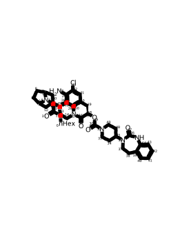 CCCCCCOC(=O)CN1C2CCC1CC(N1CCN(C(=O)[C@@H](Cc3cc(Cl)c(N)c(C(F)(F)F)c3)OC(=O)N3CCC(N4CCc5ccccc5NC4=O)CC3)CC1)C2